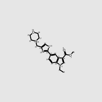 CCn1cc(C(=O)OC)c2cc(-c3nc(CN4CCOCC4)cs3)ccc21